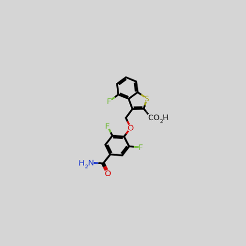 NC(=O)c1cc(F)c(OCc2c(C(=O)O)sc3cccc(F)c23)c(F)c1